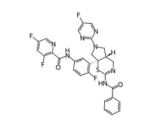 O=C(NC1=NC[C@H]2CN(c3ncc(F)cn3)C[C@]2(c2cc(NC(=O)c3ncc(F)cc3F)ccc2F)S1)c1ccccc1